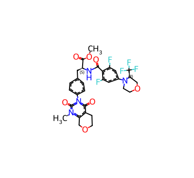 COC(=O)[C@H](Cc1ccc(-n2c(=O)c3c(n(C)c2=O)COCC3)cc1)NC(=O)c1c(F)cc(N2CCOC[C@@H]2C(F)(F)F)cc1F